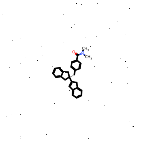 CN(C)C(=O)c1ccc(C[C@@]2(C3=Cc4ccccc4C3)[CH]c3ccccc3C2)cc1